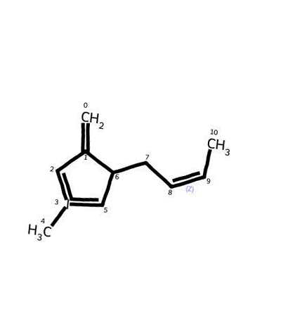 C=C1C=I(C)=CC1C/C=C\C